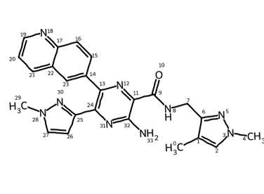 Cc1cn(C)nc1CNC(=O)c1nc(-c2ccc3ncccc3c2)c(-c2ccn(C)n2)nc1N